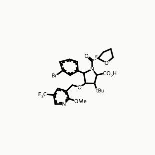 COc1ncc(C(F)(F)F)cc1COC1C(c2cccc(Br)c2)N(C(=O)[C@@H]2CCCO2)C(C(=O)O)C1C(C)(C)C